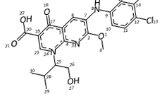 COc1nc2c(cc1Nc1ccc(Cl)c(F)c1)c(=O)c(C(=O)O)cn2C(CO)C(C)C